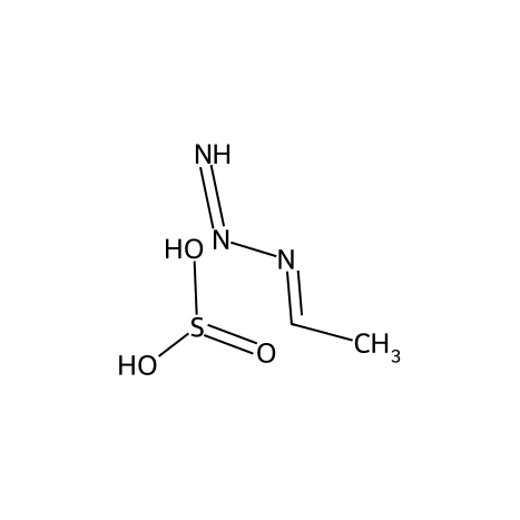 CC=NN=N.O=S(O)O